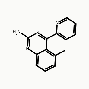 Cc1cccc2nc(N)nc(-c3ccccn3)c12